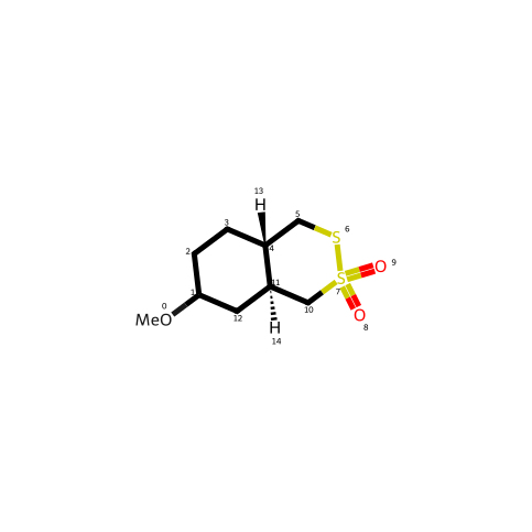 COC1CC[C@@H]2CSS(=O)(=O)C[C@H]2C1